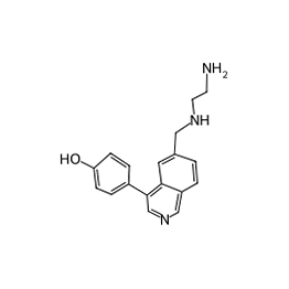 NCCNCc1ccc2cncc(-c3ccc(O)cc3)c2c1